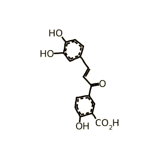 O=C(C=Cc1ccc(O)c(O)c1)c1ccc(O)c(C(=O)O)c1